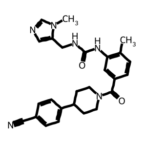 Cc1ccc(C(=O)N2CCC(c3ccc(C#N)cc3)CC2)cc1NC(=O)NCc1cncn1C